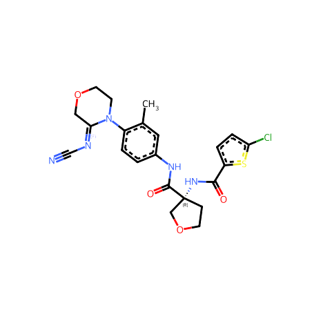 Cc1cc(NC(=O)[C@@]2(NC(=O)c3ccc(Cl)s3)CCOC2)ccc1N1CCOC/C1=N\C#N